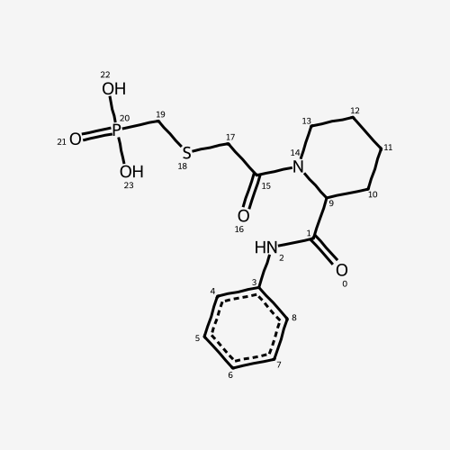 O=C(Nc1ccccc1)C1CCCCN1C(=O)CSCP(=O)(O)O